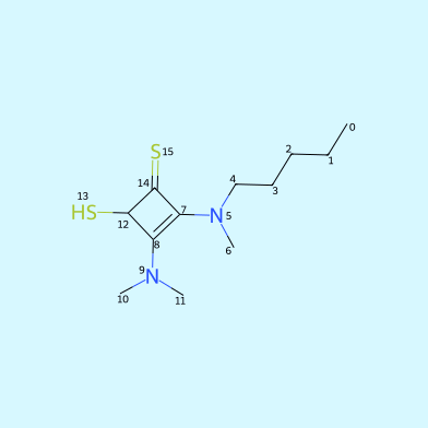 CCCCCN(C)C1=C(N(C)C)C(S)C1=S